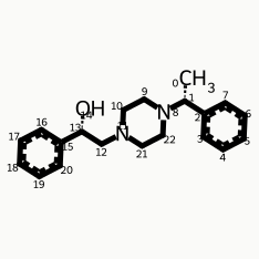 C[C@H](c1ccccc1)N1CCN(C[C@@H](O)c2ccccc2)CC1